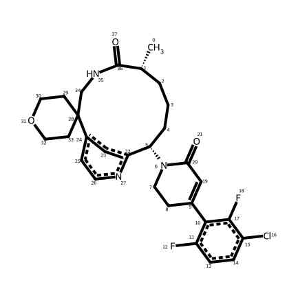 C[C@@H]1CCC[C@H](N2CCC(c3c(F)ccc(Cl)c3F)=CC2=O)c2cc(ccn2)C2(CCOCC2)CNC1=O